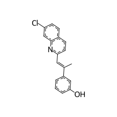 C/C(=C\c1ccc2ccc(Cl)cc2n1)c1cccc(O)c1